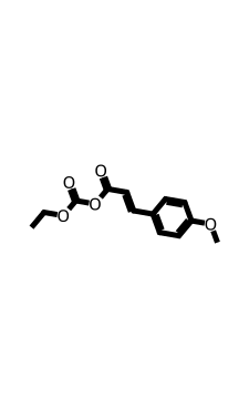 CCOC(=O)OC(=O)C=Cc1ccc(OC)cc1